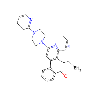 BCCc1c(-c2ccccc2C=O)cc(N2CCN(C3=NC=CCC3)CC2)nc1/C=C\C